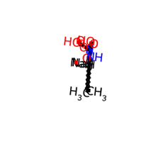 CC(C)CCCCCCCCCCCCCCC(=O)NCCN(CCOCCC(=O)O)CCC(=O)O.[NaH].[NaH]